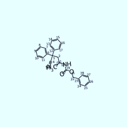 C[C@@H](CC(C#N)(c1ccccc1)c1ccccc1)NC(=O)OCc1ccccc1